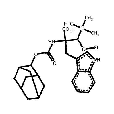 CCOC(C(Cc1c[nH]c2ccccc12)(NC(=O)OC1C2CC3CC(C2)CC1C3)C(=O)O)[Si](C)(C)C